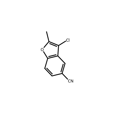 Cc1oc2ccc(C#N)cc2c1Cl